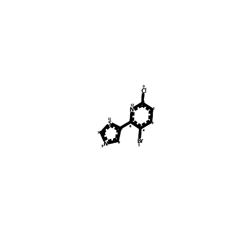 Clc1ccc(Br)c(-c2cncs2)n1